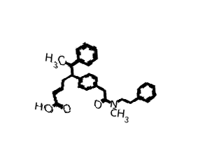 CC(c1ccccc1)C(CC=CC(=O)O)c1ccc(CC(=O)N(C)CCc2ccccc2)cc1